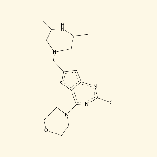 CC1CN(Cc2cc3nc(Cl)nc(N4CCOCC4)c3s2)CC(C)N1